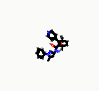 Cc1cc(NC(=O)C2=C(c3ccncc3)[C@@H]3CC[C@H]2O3)nn1-c1ccccc1